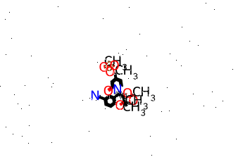 CC(=O)O[C@H]1[C@H](n2ccc(C(C)OS(C)(=O)=O)cc2=O)c2cc(C#N)ccc2OC1(C)C